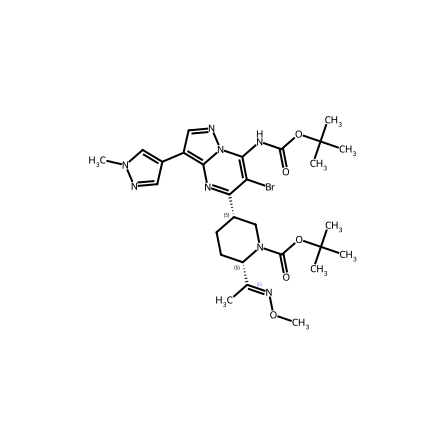 CO/N=C(\C)[C@@H]1CC[C@H](c2nc3c(-c4cnn(C)c4)cnn3c(NC(=O)OC(C)(C)C)c2Br)CN1C(=O)OC(C)(C)C